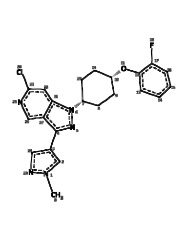 Cn1cc(-c2nn([C@H]3CC[C@@H](Oc4ccccc4F)CC3)c3cc(Cl)ncc23)cn1